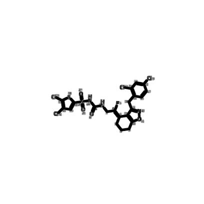 O=C(NCC(F)=C1CCCc2onc(Cc3ccc(Cl)cc3Cl)c21)NS(=O)(=O)c1cc(Cl)c(Cl)s1